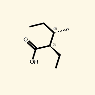 CC[C@H](C)[C@@H](CC)C(=O)O